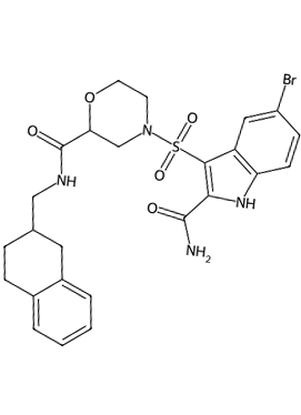 NC(=O)c1[nH]c2ccc(Br)cc2c1S(=O)(=O)N1CCOC(C(=O)NCC2CCc3ccccc3C2)C1